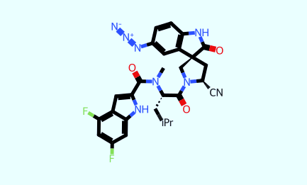 CC(C)C[C@@H](C(=O)N1C[C@]2(C[C@H]1C#N)C(=O)Nc1ccc(N=[N+]=[N-])cc12)N(C)C(=O)c1cc2c(F)cc(F)cc2[nH]1